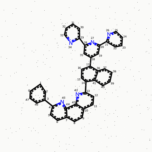 c1ccc(-c2ccc3ccc4ccc(-c5ccc(-c6cc(-c7ccccn7)nc(-c7ccccn7)c6)c6ccccc56)nc4c3n2)cc1